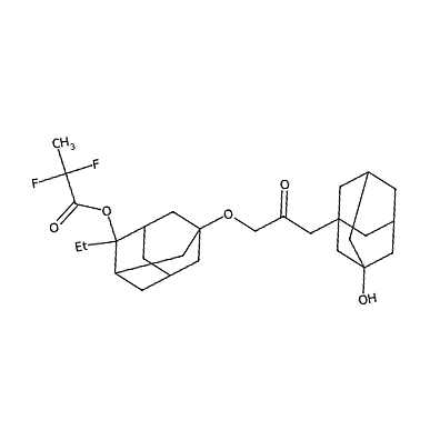 CCC1(OC(=O)C(C)(F)F)C2CC3CC1CC(OCC(=O)CC14CC5CC(CC(O)(C5)C1)C4)(C3)C2